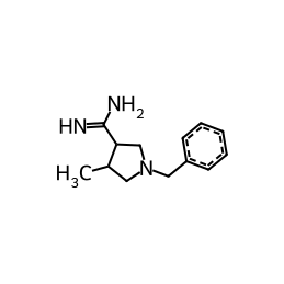 CC1CN(Cc2ccccc2)CC1C(=N)N